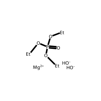 CCOP(=O)(OCC)OCC.[Mg+2].[OH-].[OH-]